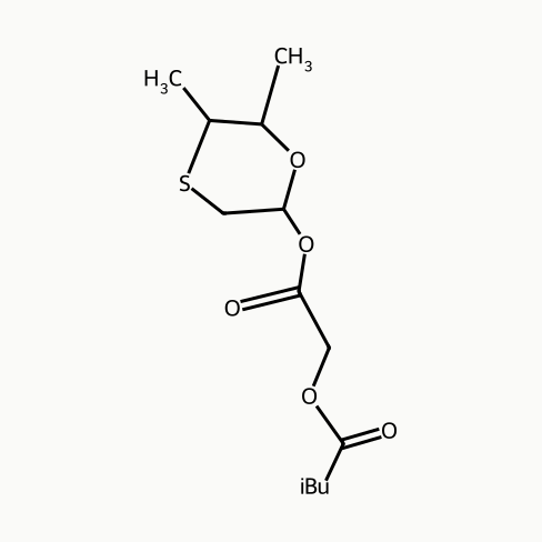 CCC(C)C(=O)OCC(=O)OC1CSC(C)C(C)O1